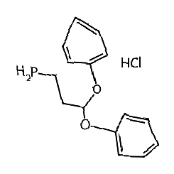 Cl.PCCC(Oc1ccccc1)Oc1ccccc1